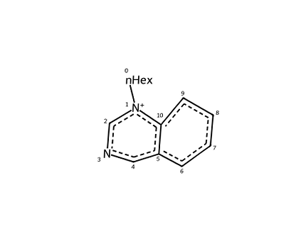 CCCCCC[n+]1cncc2ccccc21